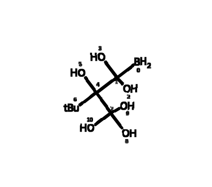 BC(O)(O)C(O)(C(C)(C)C)C(O)(O)O